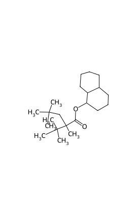 CC(C)(C)CC(C)(C(=O)OC1CCCC2CCCCC21)C(C)(C)C